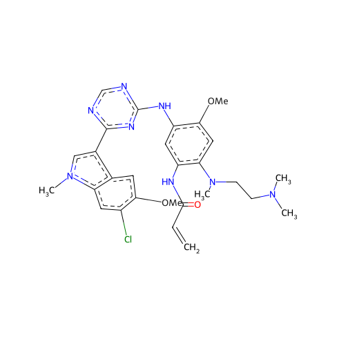 C=CC(=O)Nc1cc(Nc2ncnc(-c3cn(C)c4cc(Cl)c(OC)cc34)n2)c(OC)cc1N(C)CCN(C)C